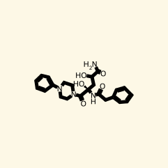 NC(=O)C(O)C[C@](O)(NC(=O)Cc1ccccc1)C(=O)N1CCN(c2ccccc2)CC1